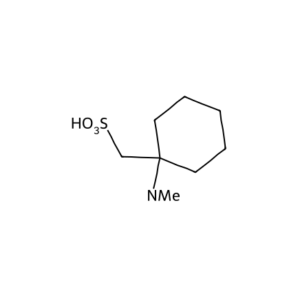 CNC1(CS(=O)(=O)O)CCCCC1